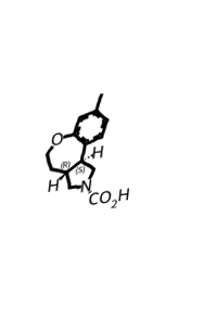 Cc1ccc2c(c1)OCC[C@H]1CN(C(=O)O)C[C@H]21